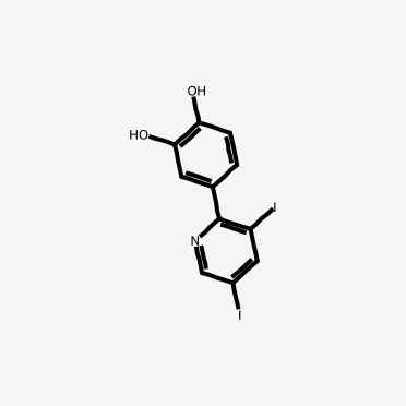 Oc1ccc(-c2ncc(I)cc2I)cc1O